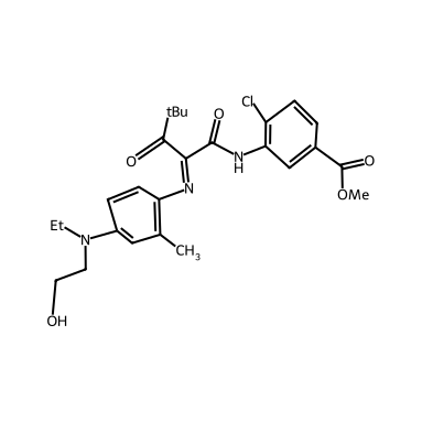 CCN(CCO)c1ccc(/N=C(/C(=O)Nc2cc(C(=O)OC)ccc2Cl)C(=O)C(C)(C)C)c(C)c1